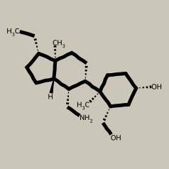 CC[C@H]1CC[C@H]2[C@@H](CN)[C@@H]([C@@]3(C)CC[C@H](O)C[C@@H]3CO)CC[C@]12C